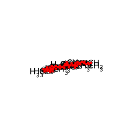 C=C(C)C(=O)Cc1ccc(-c2ccc(-c3ccc4c(c3)C3(c5cc(-c6ccc7c(c6)C6(c8cc(-c9ccc(-c%10ccc(-c%11ccc%12c(c%11)C%11(c%13cc(-c%14ccc(C)cc%14)ccc%13-%12)C%12(CCC)CCCC%11(CCC)CCC%12)cc%10)cc9)ccc8-7)C7(CC)CCC6(CC)CC7)ccc5-4)C4(C)CCC3(C)CC4)cc2)cc1